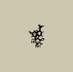 CN1C(=N)N[C@](C)(c2cccc(I)c2)[C@@H](c2ccc(C3CC3)cc2)C1=O